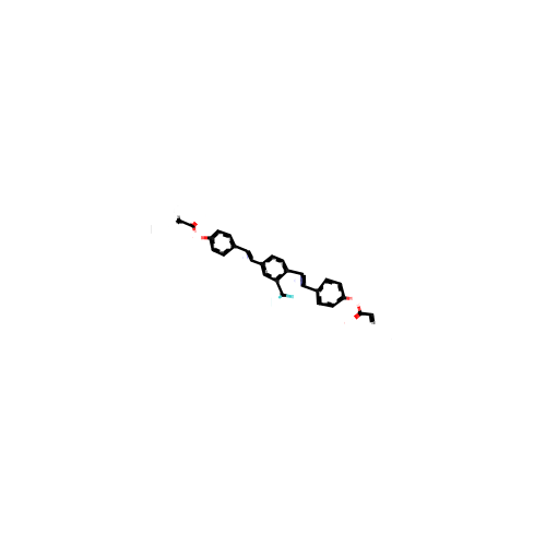 C=CC(=O)Oc1ccc(/C=C/c2ccc(/C=C/c3ccc(OC(=O)C(=C)C)cc3)cc2C(F)F)cc1